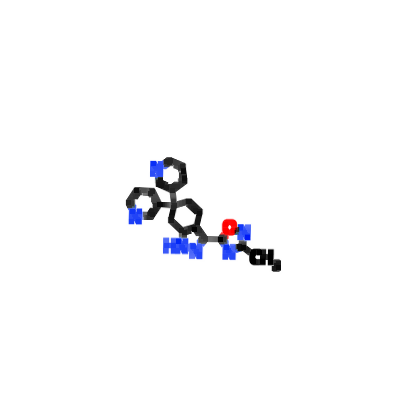 Cc1noc(-c2n[nH]c3c2C=CC(c2cccnc2)(c2cccnc2)C3)n1